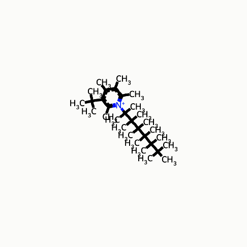 Cc1c(C)c(C)[n+](C(C)(C)C(C)(C)C(C)(C)C(C)(C)C(C)(C)C(C)(C)C)c(C)c1C(C)(C)C